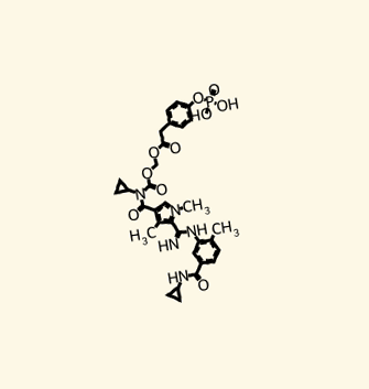 Cc1ccc(C(=O)NC2CC2)cc1NC(=N)c1c(C)c(C(=O)N(C(=O)OCOC(=O)Cc2ccc(OP(=O)(O)O)cc2)C2CC2)cn1C